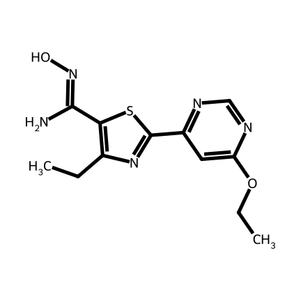 CCOc1cc(-c2nc(CC)c(/C(N)=N/O)s2)ncn1